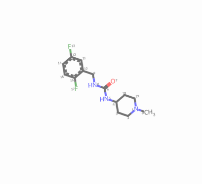 CN1CCC(NC(=O)NCc2cc(F)ccc2F)CC1